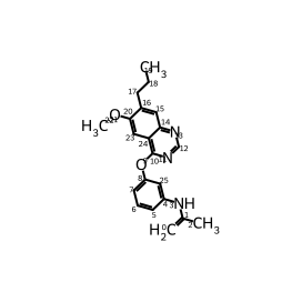 C=C(C)Nc1cccc(Oc2ncnc3cc(CCC)c(OC)cc23)c1